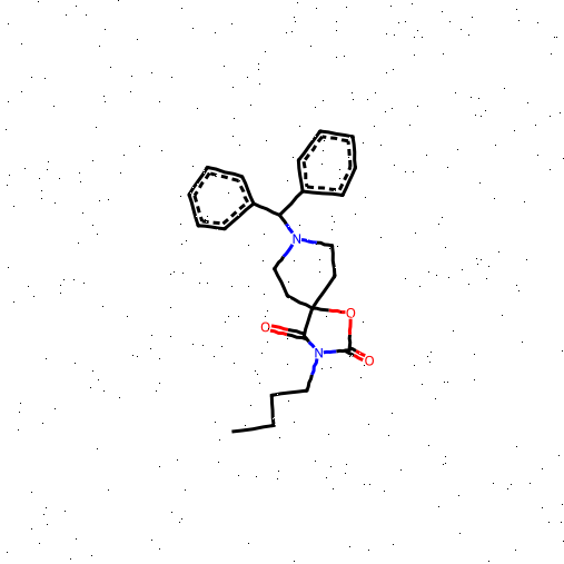 CCCCN1C(=O)OC2(CCN(C(c3ccccc3)c3ccccc3)CC2)C1=O